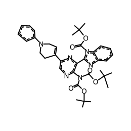 CC(C)(C)OC(=O)N(C(=O)OC(C)(C)C)c1ncc(C2=CCN(c3ccccc3)CC2)nc1-c1nc2ccccc2n1C(=O)OC(C)(C)C